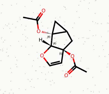 CC(=O)O[C@@]12C=CO[C@@H]1[C@@]1(OC(C)=O)CC1C2